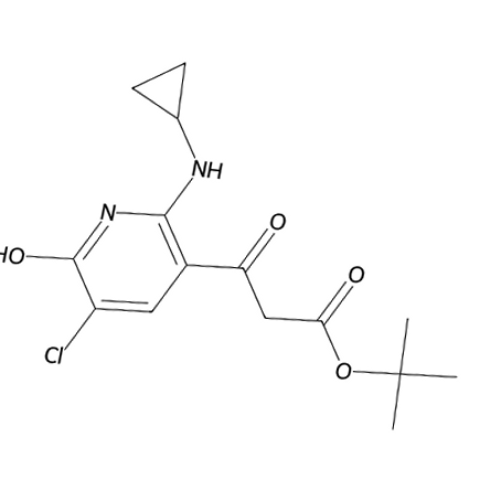 CC(C)(C)OC(=O)CC(=O)c1cc(Cl)c(O)nc1NC1CC1